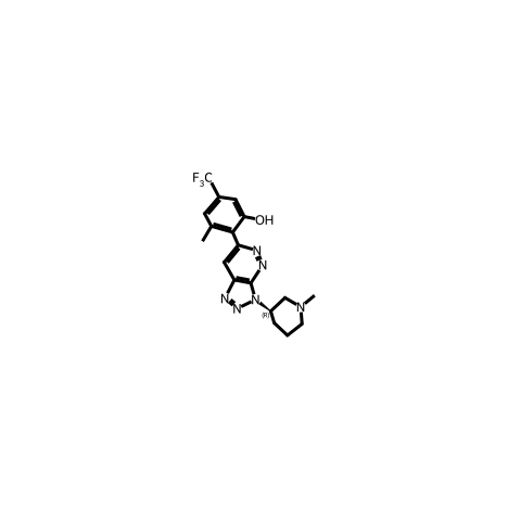 Cc1cc(C(F)(F)F)cc(O)c1-c1cc2nnn([C@@H]3CCCN(C)C3)c2nn1